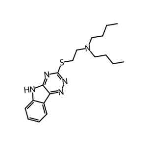 CCCCN(CCCC)CCSc1nnc2c(n1)[nH]c1ccccc12